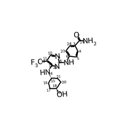 NC(=O)c1ccc(Nc2ncc(C(F)(F)F)c(N[C@H]3CC[C@H](O)CC3)n2)cc1